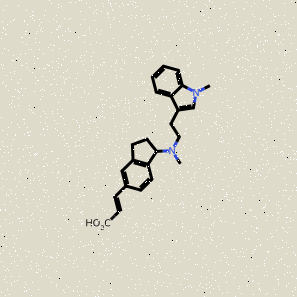 CN(CCc1cn(C)c2ccccc12)C1CCc2cc(/C=C/C(=O)O)ccc21